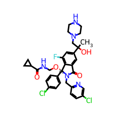 CC(O)(CN1CCNCC1)c1cc(F)c2c(c1)C(=O)N(Cc1ccc(Cl)cn1)[C@@]2(OCNC(=O)C1CC1)c1ccc(Cl)cc1